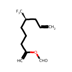 [CH]=C(CCC[C@H](CC=C)C(F)(F)F)OC=O